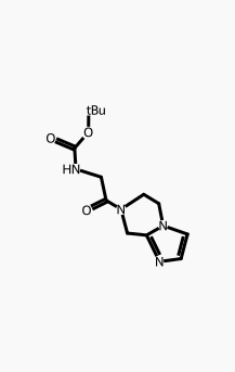 CC(C)(C)OC(=O)NCC(=O)N1CCn2ccnc2C1